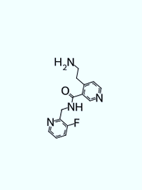 NCCc1ccncc1C(=O)NCc1ncccc1F